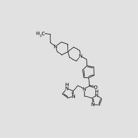 CCCN1CCC2(CC1)CCN(Cc1ccc(C(=O)N(Cc3ncc[nH]3)Cc3ncc[nH]3)cc1)CC2